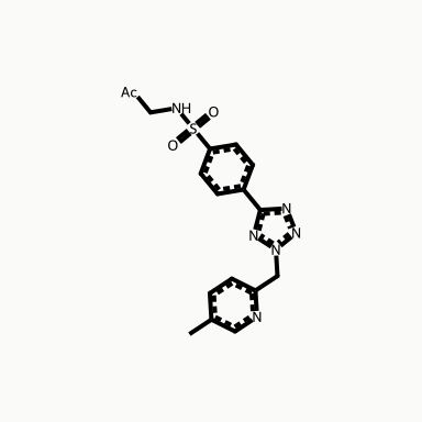 CC(=O)CNS(=O)(=O)c1ccc(-c2nnn(Cc3ccc(C)cn3)n2)cc1